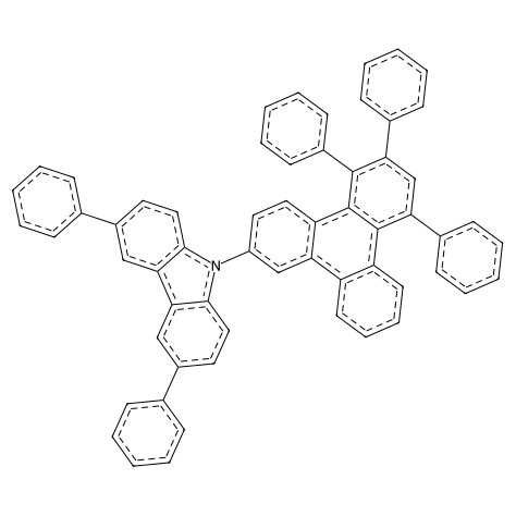 c1ccc(-c2ccc3c(c2)c2cc(-c4ccccc4)ccc2n3-c2ccc3c(c2)c2ccccc2c2c(-c4ccccc4)cc(-c4ccccc4)c(-c4ccccc4)c32)cc1